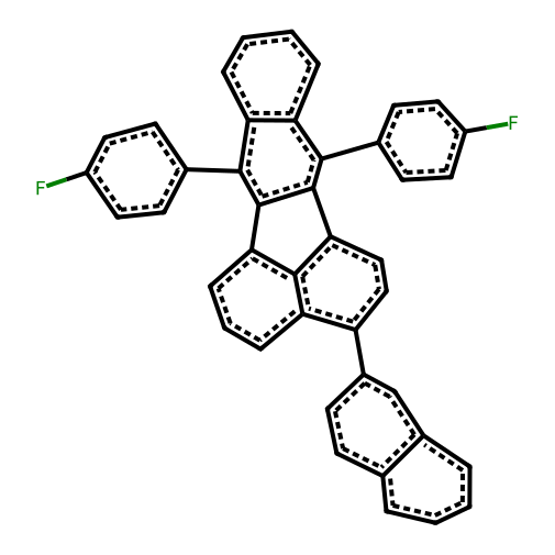 Fc1ccc(-c2c3c(c(-c4ccc(F)cc4)c4ccccc24)-c2ccc(-c4ccc5ccccc5c4)c4cccc-3c24)cc1